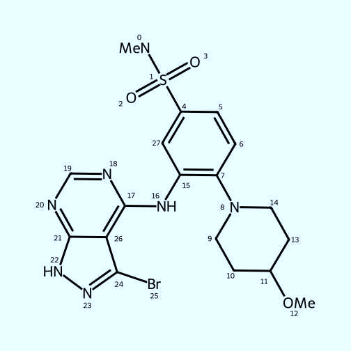 CNS(=O)(=O)c1ccc(N2CCC(OC)CC2)c(Nc2ncnc3[nH]nc(Br)c23)c1